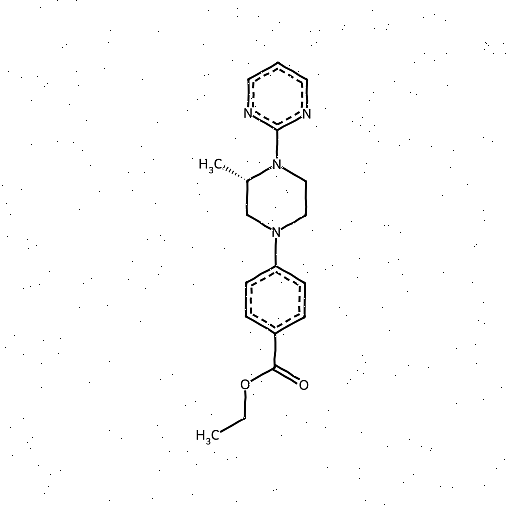 CCOC(=O)c1ccc(N2CCN(c3ncccn3)[C@@H](C)C2)cc1